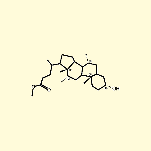 COC(=O)CCC(C)C1CCC2C3C(C[C@H](C)[C@]12C)[C@@]1(C)CC[C@@H](O)CC1C[C@H]3C